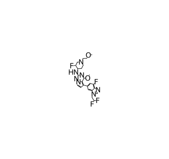 COCCN1CC[C@H](Nc2nc(OC)c3c(-c4cc(F)c5ncn(CC(F)F)c5c4)ccn3n2)[C@@H](F)C1